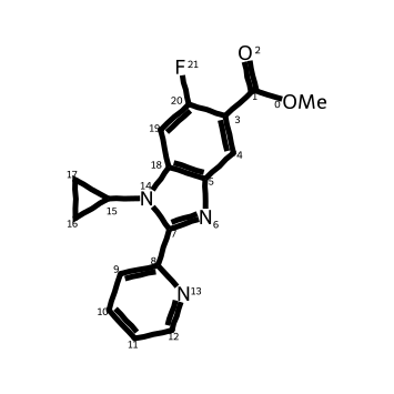 COC(=O)c1cc2nc(-c3ccccn3)n(C3CC3)c2cc1F